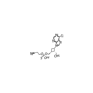 N#CCCOP(O)(=S)OC[C@H]1C[C@@H](n2cnc3c(Cl)ncnc32)[C@@H]1CO